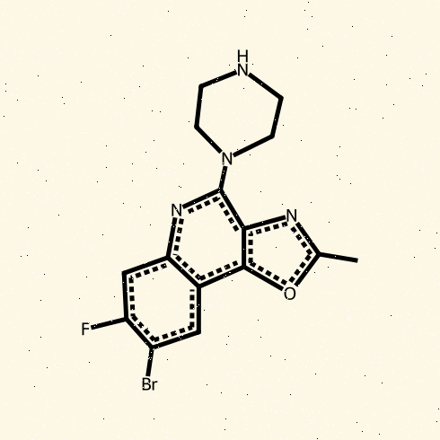 Cc1nc2c(N3CCNCC3)nc3cc(F)c(Br)cc3c2o1